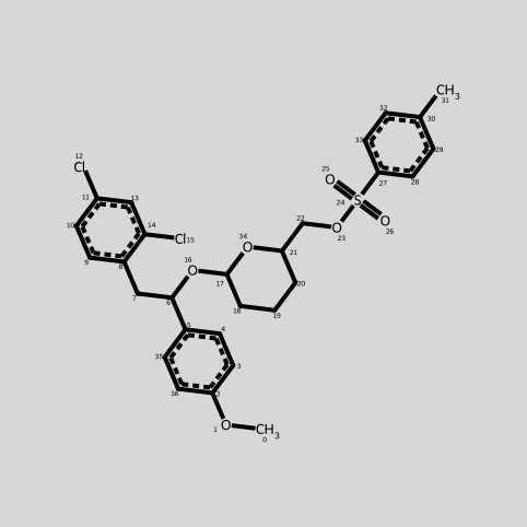 COc1ccc(C(Cc2ccc(Cl)cc2Cl)OC2CCCC(COS(=O)(=O)c3ccc(C)cc3)O2)cc1